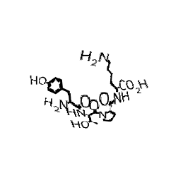 C[C@@H](O)[C@H](NC(=O)[C@@H](N)Cc1ccc(O)cc1)C(=O)N1CCC[C@H]1C(=O)N[C@@H](CCCCN)C(=O)O